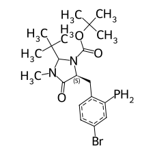 CN1C(=O)[C@H](Cc2ccc(Br)cc2P)N(C(=O)OC(C)(C)C)C1C(C)(C)C